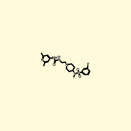 Cc1cc(NC(=O)NCCN2CCC(N(C)S(=O)(=O)c3cccc(F)c3)CC2)cc(C)n1